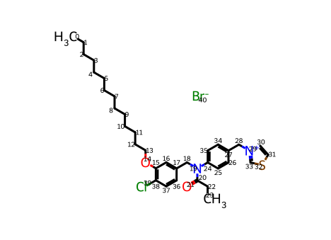 CCCCCCCCCCCCCCOc1cc(CN(C(=O)CC)c2ccc(C[n+]3ccsc3)cc2)ccc1Cl.[Br-]